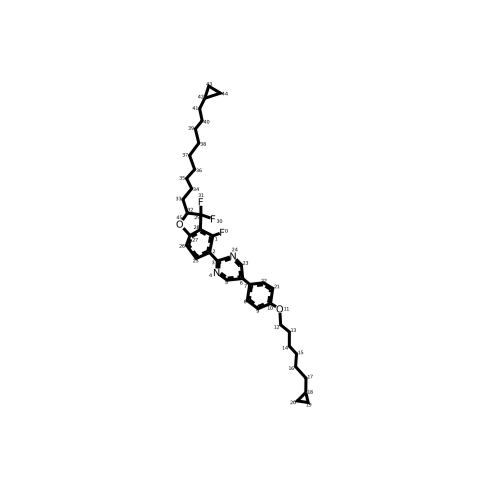 Fc1c(-c2ncc(-c3ccc(OCCCCCCC4CC4)cc3)cn2)ccc2c1C(F)(F)C(CCCCCCCCCC1CC1)O2